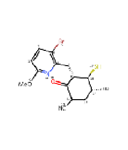 COc1ccc(Br)c(C[C@H]2C(=O)C(C#N)C[C@@H](C)[C@@H]2S)n1